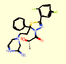 C[C@H](O)C(=O)N1N=C(c2cc(F)ccc2F)SC1(CCN1CCNC(=N)C1)c1ccccc1